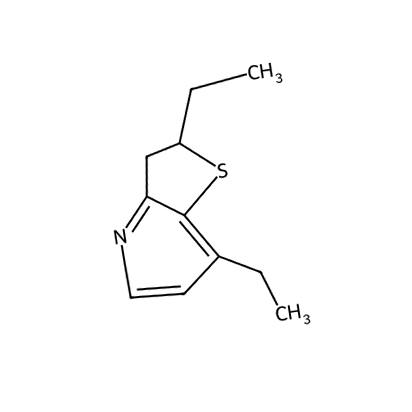 CCc1ccnc2c1SC(CC)C2